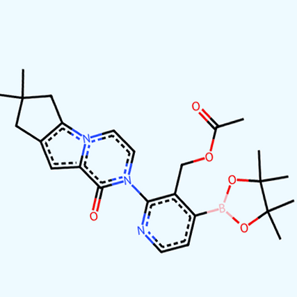 CC(=O)OCc1c(B2OC(C)(C)C(C)(C)O2)ccnc1-n1ccn2c3c(cc2c1=O)CC(C)(C)C3